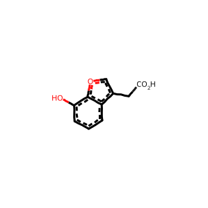 O=C(O)Cc1coc2c(O)cccc12